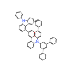 c1ccc(-c2ccc(N(c3cc(-c4ccccc4)cc(-c4ccccc4)c3)c3ccccc3-c3cccc(-c4cccc5c4c4ccccc4n5-c4ccccc4)c3)cc2)cc#1